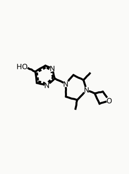 CC1CN(c2ncc(O)cn2)CC(C)N1C1COC1